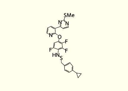 CSc1nccc(-c2cccnc2Oc2cc(F)c(NSCc3ccc(C4CC4)cc3)c(F)c2F)n1